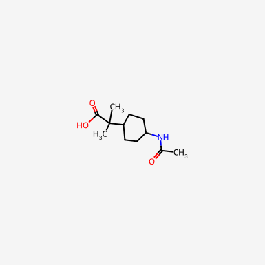 CC(=O)NC1CCC(C(C)(C)C(=O)O)CC1